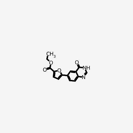 CCOC(=O)c1ccc(-c2ccc3nc[nH]c(=O)c3c2)o1